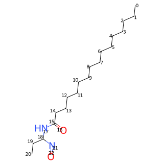 CCCCCCCCCCCCCCCC(=O)NC(CC)N=O